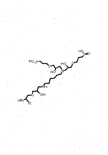 CCCCC(CC)COCC(O)CNCCCCCCN(CC(O)COCCCS(=O)O)CC(O)COCCCS(=O)(=O)O